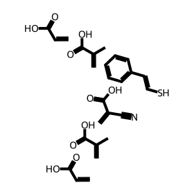 C=C(C#N)C(=O)O.C=C(C)C(=O)O.C=C(C)C(=O)O.C=CC(=O)O.C=CC(=O)O.SC=Cc1ccccc1